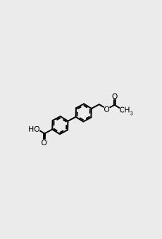 CC(=O)OCc1ccc(-c2ccc(C(=O)O)cc2)cc1